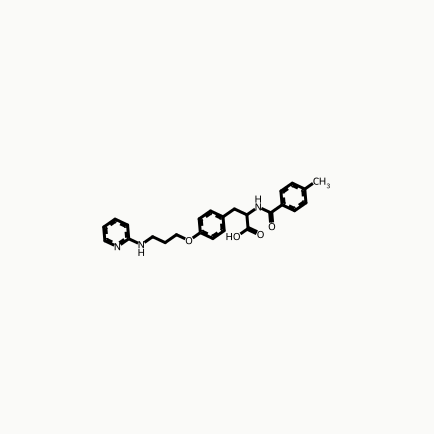 Cc1ccc(C(=O)NC(Cc2ccc(OCCCNc3ccccn3)cc2)C(=O)O)cc1